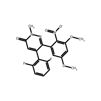 COc1cc(OC)c([N+](=O)[O-])c(-c2nn(C)c(=O)cc2-c2c(F)cccc2F)c1